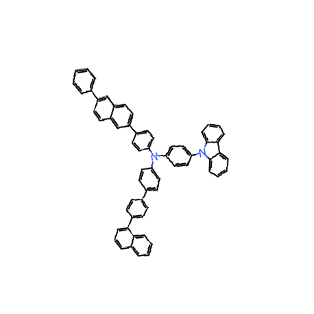 c1ccc(-c2ccc3cc(-c4ccc(N(c5ccc(-c6ccc(-c7cccc8ccccc78)cc6)cc5)c5ccc(-n6c7ccccc7c7ccccc76)cc5)cc4)ccc3c2)cc1